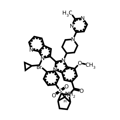 COc1cc(C(=O)N2CC3CCC2[C@]3(N)S(=O)(=O)c2ccc(Br)cc2)cc2nc(-c3cc4cccnc4n3CC3CC3)n(C3CCN(c4ccnc(C)n4)CC3)c12